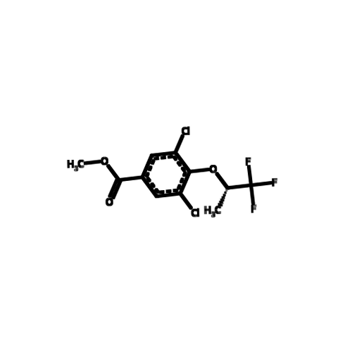 COC(=O)c1cc(Cl)c(O[C@@H](C)C(F)(F)F)c(Cl)c1